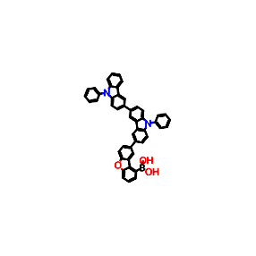 OB(O)c1cccc2oc3ccc(-c4ccc5c(c4)c4cc(-c6ccc7c(c6)c6ccccc6n7-c6ccccc6)ccc4n5-c4ccccc4)cc3c12